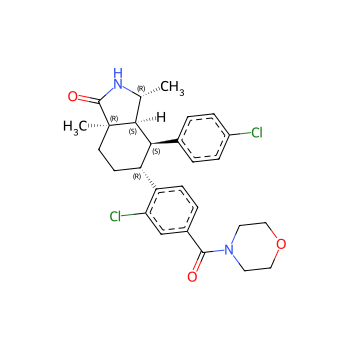 C[C@H]1NC(=O)[C@]2(C)CC[C@@H](c3ccc(C(=O)N4CCOCC4)cc3Cl)[C@H](c3ccc(Cl)cc3)[C@H]12